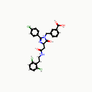 O=C(CC1N=C(c2ccc(Cl)cc2)N(Cc2cccc(C(=O)O)c2)C1=O)NCCc1c(Cl)cccc1Cl